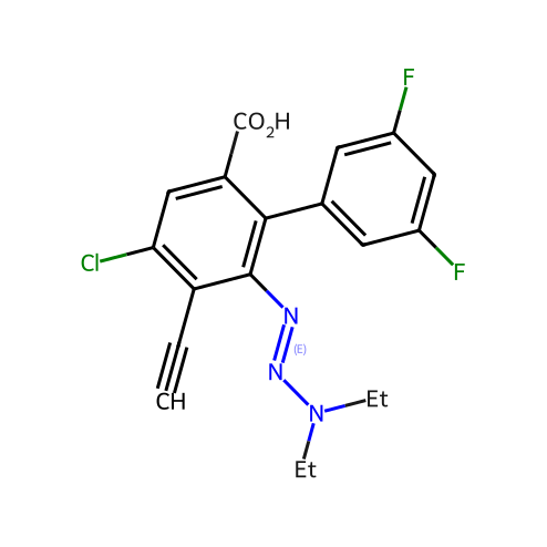 C#Cc1c(Cl)cc(C(=O)O)c(-c2cc(F)cc(F)c2)c1/N=N/N(CC)CC